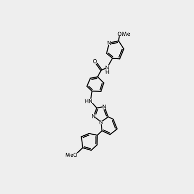 COc1ccc(-c2cccc3nc(Nc4ccc(C(=O)Nc5ccc(OC)nc5)cc4)nn23)cc1